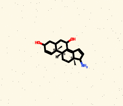 C[C@]12CC[C@@H]3C(=C1C=CC2N)C(O)CC1CC(O)C=C[C@@]13C